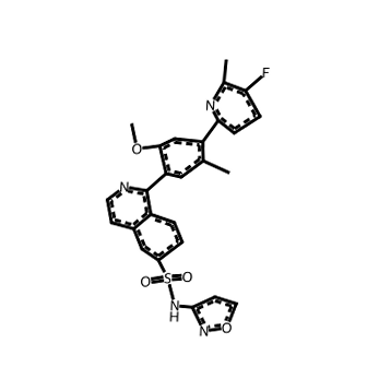 COc1cc(-c2ccc(F)c(C)n2)c(C)cc1-c1nccc2cc(S(=O)(=O)Nc3ccon3)ccc12